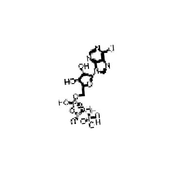 O=P(O)(O)OP(=O)(O)OP(=O)(O)OCC1O[C@@H](n2cnc3c(Cl)ncnc32)[C@H](O)[C@@H]1O